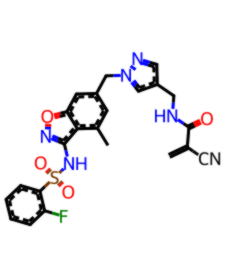 C=C(C#N)C(=O)NCc1cnn(Cc2cc(C)c3c(NS(=O)(=O)c4ccccc4F)noc3c2)c1